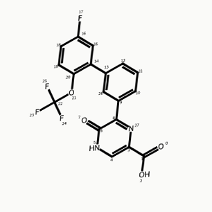 O=C(O)c1c[nH]c(=O)c(-c2cccc(-c3cc(F)ccc3OC(F)(F)F)c2)n1